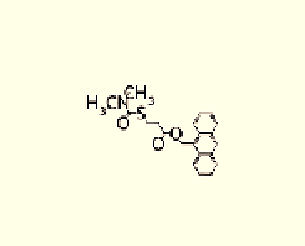 CN(C)C(=O)SCCC(=O)OCc1c2ccccc2cc2ccccc12